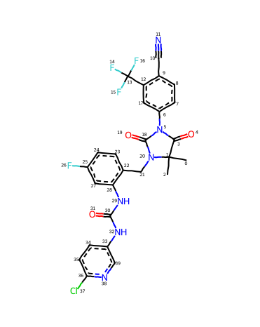 CC1(C)C(=O)N(c2ccc(C#N)c(C(F)(F)F)c2)C(=O)N1Cc1ccc(F)cc1NC(=O)Nc1ccc(Cl)nc1